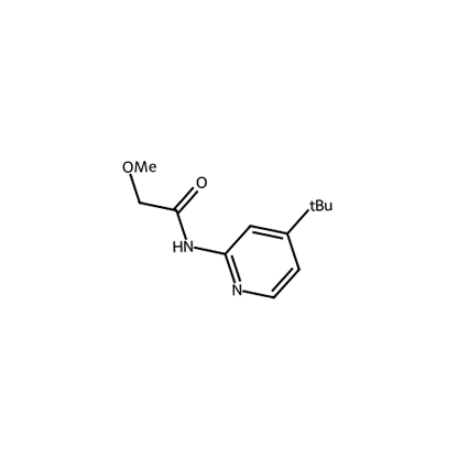 COCC(=O)Nc1cc(C(C)(C)C)ccn1